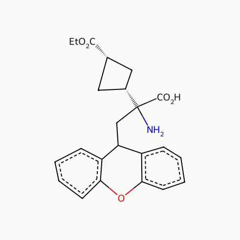 CCOC(=O)[C@H]1C[C@@H](C(N)(CC2c3ccccc3Oc3ccccc32)C(=O)O)C1